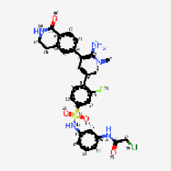 C=N/C(N)=C(\C=C(/C)c1ccc(S(=O)(=O)Nc2cccc(NC(=O)CCl)c2)cc1F)c1ccc2c(c1)CCNC2=O